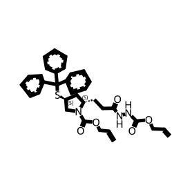 C=CCOC(=O)NNC(=O)CC[C@H]1C[C@H](SC(c2ccccc2)(c2ccccc2)c2ccccc2)CN1C(=O)OCC=C